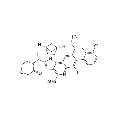 CSc1nc2c(F)c(-c3cccc(Cl)c3C)c(CCC#N)cc2c2c1cc([C@@H](C)N1CCOCC1=O)n2C1[C@@H]2CC[C@H]1C2